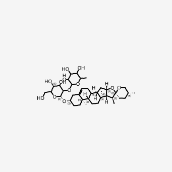 CC1OC(OC2C(O)[C@H](O)C(CO)O[C@H]2O[C@H]2CC[C@@]3(C)C(=CC[C@H]4[C@@H]5C[C@@H]6O[C@]7(CC[C@@H](C)CO7)[C@@H](C)[C@@H]6[C@@]5(C)CC[C@@H]43)C2)C(O)C(O)C1O